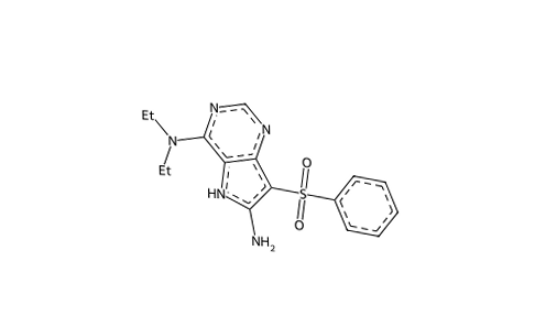 CCN(CC)c1ncnc2c(S(=O)(=O)c3ccccc3)c(N)[nH]c12